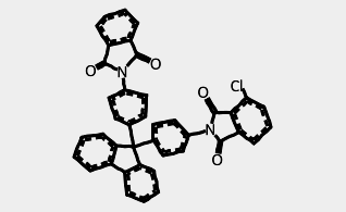 O=C1c2ccccc2C(=O)N1c1ccc(C2(c3ccc(N4C(=O)c5cccc(Cl)c5C4=O)cc3)c3ccccc3-c3ccccc32)cc1